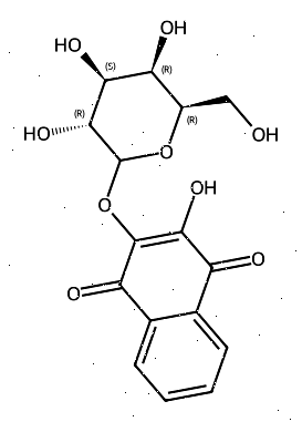 O=C1C(O)=C(OC2O[C@H](CO)[C@H](O)[C@H](O)[C@H]2O)C(=O)c2ccccc21